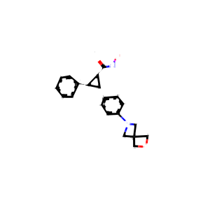 O=C(NO)[C@@H]1[C@H](c2ccccc2)[C@H]1c1ccc(N2CC3(COC3)C2)cc1